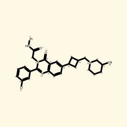 CC(C)NC(=O)Cn1c(-c2cccc(Cl)c2)nc2ccc(C3CC(CN4CCCC(C#N)C4)C3)cc2c1=O